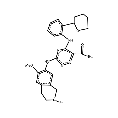 CCN1CCc2cc(OC)c(Nc3nnc(C(N)=O)c(Nc4ccccc4C4CCCCO4)n3)cc2C1